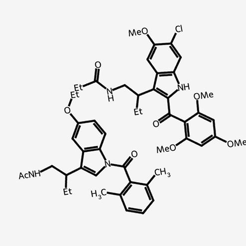 CCC(=O)NCC(CC)c1c(C(=O)c2c(OC)cc(OC)cc2OC)[nH]c2cc(Cl)c(OC)cc12.CCOc1ccc2c(c1)c(C(CC)CNC(C)=O)cn2C(=O)c1c(C)cccc1C